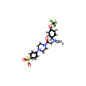 CN(CC(=O)N1CCN(c2ccc([SH](=O)=O)cc2)CC1)c1ccc(OC(F)(F)F)cc1